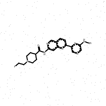 CC(C)Nc1cncc(-c2ccc3cnc(NC(=O)C4CCN(CCF)CC4)cc3n2)n1